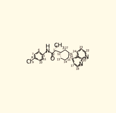 C[C@@H](C(=O)Nc1ccc(Cl)cc1)[C@H]1CC[C@@H](c2ccnc3ncccc32)CC1